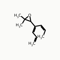 C=C/C=C(\C=C/C)C1OC1(C)C